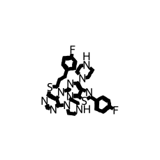 Fc1ccc(CCC2Sc3ncnc(N4CCNCC4)c3N2c2nc(N3CCNCC3)c3nc(-c4ccc(F)cc4)sc3n2)cc1